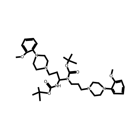 COc1ccccc1N1CCN(CCCN(C(=O)OC(C)(C)C)C(CCN2CCN(c3ccccc3OC)CC2)NC(=O)OC(C)(C)C)CC1